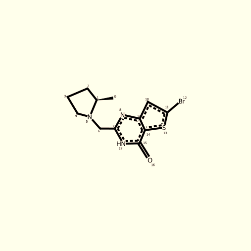 C[C@@H]1CCCN1Cc1nc2cc(Br)sc2c(=O)[nH]1